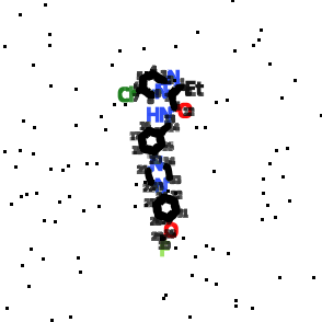 CCc1nc2ccc(Cl)cn2c1C(=O)NCc1cccc(N2CCN(c3ccc(OCF)cc3)CC2)c1